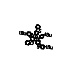 CC(C)(C)c1ccc(N2B3c4cc5sc6ccccc6c5cc4-n4c5ccc(C(C)(C)C)cc5c5c6c(oc7ccccc76)c(c3c54)-c3cc4sc5ccc(C(C)(C)C)cc5c4cc32)cc1